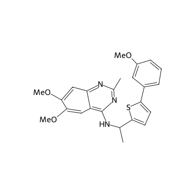 COc1cccc(-c2ccc(C(C)Nc3nc(C)nc4cc(OC)c(OC)cc34)s2)c1